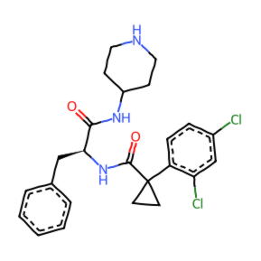 O=C(NC1CCNCC1)[C@H](Cc1ccccc1)NC(=O)C1(c2ccc(Cl)cc2Cl)CC1